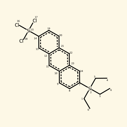 CC[Si](CC)(CC)c1ccc2cc3cc([Si](Cl)(Cl)Cl)ccc3cc2c1